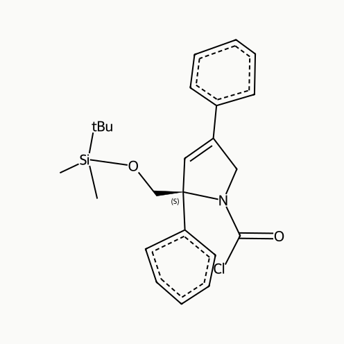 CC(C)(C)[Si](C)(C)OC[C@@]1(c2ccccc2)C=C(c2ccccc2)CN1C(=O)Cl